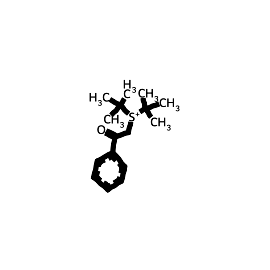 CC(C)(C)[S+](CC(=O)c1ccccc1)C(C)(C)C